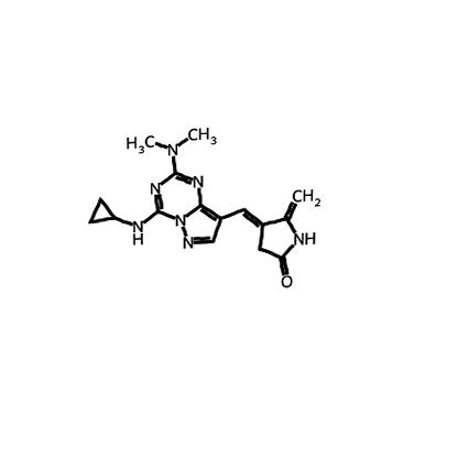 C=C1NC(=O)C/C1=C\c1cnn2c(NC3CC3)nc(N(C)C)nc12